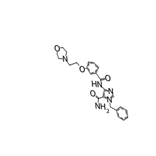 NC(=O)c1c(NC(=O)c2cccc(OCCN3CCOCC3)c2)ncn1Cc1ccccc1